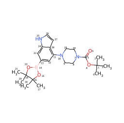 CC(C)(C)OC(=O)N1CCN(c2cc(B3OC(C)(C)C(C)(C)O3)cc3[nH]ccc23)CC1